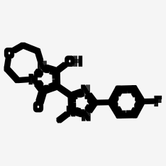 Cn1nc(-c2ccc(F)cc2)nc1-c1c(O)n2n(c1=O)CCOCC2